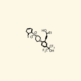 CCC(O)C#Cc1cc(C(O)(C(F)(F)F)C(F)(F)F)ccc1N1CCN(S(=O)(=O)C2=CC=CCC2=S)CC1